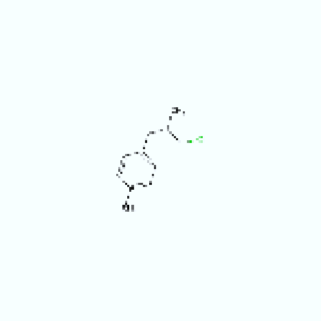 Cc1ccc(CC(C)CCl)cc1